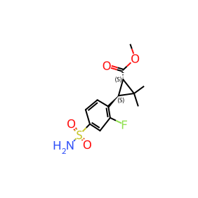 COC(=O)[C@H]1[C@H](c2ccc(S(N)(=O)=O)cc2F)C1(C)C